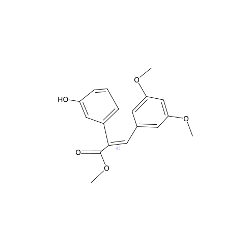 COC(=O)/C(=C/c1cc(OC)cc(OC)c1)c1cccc(O)c1